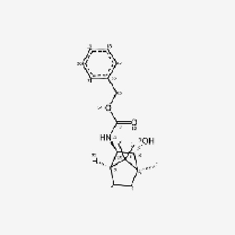 CC1(C)[C@H]2CC[C@]1(C)[C@@H](O)[C@@H]2NC(=O)OCc1ccccc1